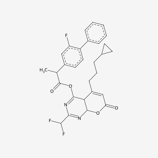 CC(C(=O)OC1=NC(C(F)F)=NC2OC(=O)C=C(CCCC3CC3)C12)c1ccc(-c2ccccc2)c(F)c1